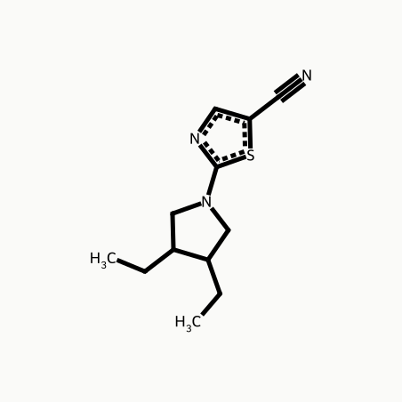 CCC1CN(c2ncc(C#N)s2)CC1CC